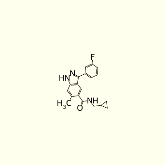 Cc1cc2[nH]nc(-c3cccc(F)c3)c2cc1C(=O)NCC1CC1